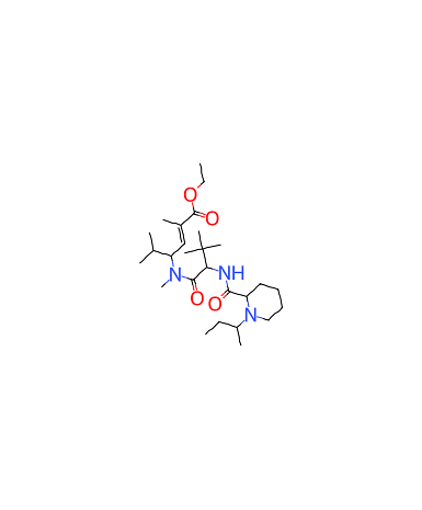 CCOC(=O)/C(C)=C/C(C(C)C)N(C)C(=O)C(NC(=O)C1CCCCN1C(C)CC)C(C)(C)C